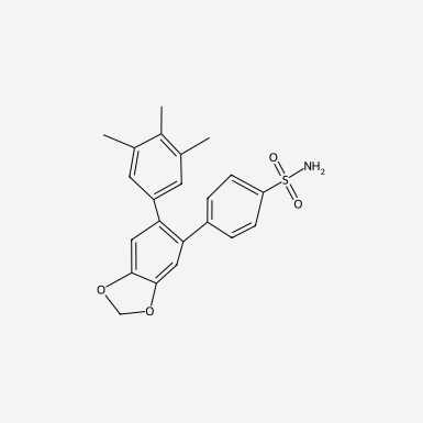 Cc1cc(-c2cc3c(cc2-c2ccc(S(N)(=O)=O)cc2)OCO3)cc(C)c1C